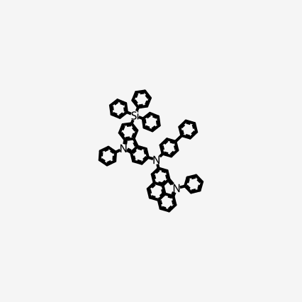 c1ccc(-c2ccc(N(c3ccc4c(c3)c3cc([Si](c5ccccc5)(c5ccccc5)c5ccccc5)ccc3n4-c3ccccc3)c3cc4ccc5cccc6c5c4c(c3)n6-c3ccccc3)cc2)cc1